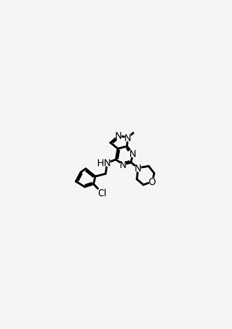 Cn1ncc2c(NCc3ccccc3Cl)nc(N3CCOCC3)nc21